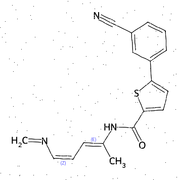 C=N/C=C\C=C(/C)NC(=O)c1ccc(-c2cccc(C#N)c2)s1